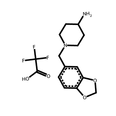 NC1CCN(Cc2ccc3c(c2)OCO3)CC1.O=C(O)C(F)(F)F